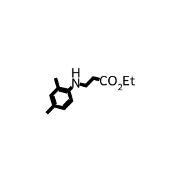 CCOC(=O)CCNc1ccc(C)cc1C